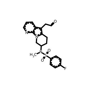 CN(C1CCc2c(CC=O)c3cccnc3n2C1)S(=O)(=O)c1ccc(F)cc1